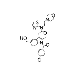 Cc1c(CC(=O)N(CCN2CCOCC2)c2nccs2)c2cc(CO)ccc2n1C(=O)c1ccc(Cl)cc1